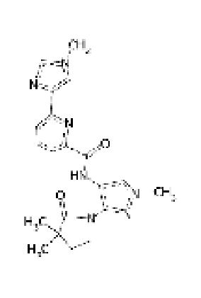 Cn1cnc(-c2cccc(C(=O)Nc3cn(C)nc3N3CCC(C)(C)C3=O)n2)c1